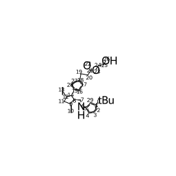 CC(C)(C)c1cccc(NC[C@H]2C(I)CC(I)[C@@H]2c2ccc(CCC(=O)OCCO)cc2)c1